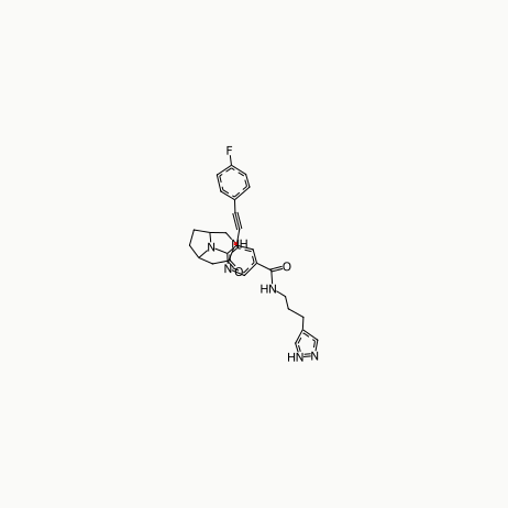 O=C1CC2CCC(CN1)N2c1ncc(C(=O)NCCCc2cn[nH]c2)cc1C#Cc1ccc(F)cc1